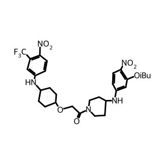 CC(C)COc1cc(NC2CCN(C(=O)COC3CCC(Nc4ccc([N+](=O)[O-])c(C(F)(F)F)c4)CC3)CC2)ccc1[N+](=O)[O-]